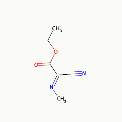 CCOC(=O)/C(C#N)=N/C